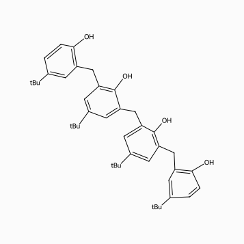 CC(C)(C)c1ccc(O)c(Cc2cc(C(C)(C)C)cc(Cc3cc(C(C)(C)C)cc(Cc4cc(C(C)(C)C)ccc4O)c3O)c2O)c1